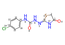 O=C1CSC(=NNC(=O)Nc2ccc(Cl)cc2)N1